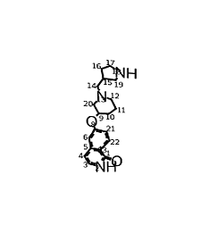 O=c1[nH]ccc2cc(OC3CCCN(CC4CCNC4)C3)ccc12